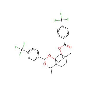 CC(C)C12CCC(C)(CC1)C(OC(=O)c1ccc(C(F)(F)F)cc1)C2OC(=O)c1ccc(C(F)(F)F)cc1